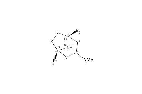 CC[C@]12CC[C@](CC)(CC(NC)C1)N2